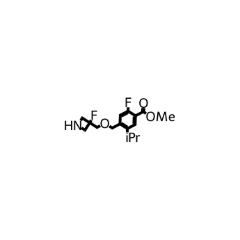 COC(=O)c1cc(C(C)C)c(COCC2(F)CNC2)cc1F